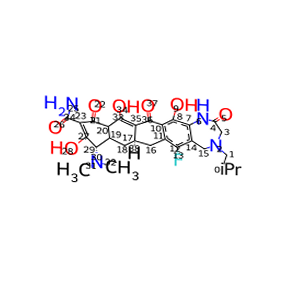 CC(C)CN1CC(=O)Nc2c(O)c3c(c(F)c2C1)C[C@H]1CC2C(C(=O)C(C(N)=O)=C(O)[C@H]2N(C)C)C(O)=C1C3=O